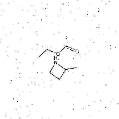 CC1CCN1.CCOC=O